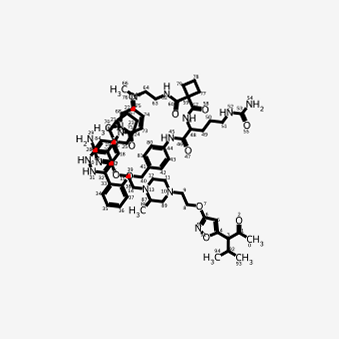 CC(=O)C(c1cc(OCCN2CCN(CCOc3cc(N4C5CCC4CN(C4=C(N)NNC(c6ccccc6OCc6ccc(NC(=O)C(CCCNC(N)=O)NC(=O)C7(C(=O)NCCN(C)CCN(C)C(=O)/C=C\C=O)CCC7)cc6)=C4)C5)ccn3)C(C)C2)no1)C(C)C